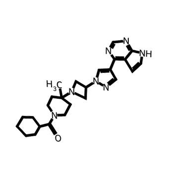 CC1(N2CC(n3cc(-c4ncnc5[nH]ccc45)cn3)C2)CCN(C(=O)C2CCCCC2)CC1